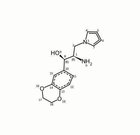 N[C@H](CN1C=C=C=C1)[C@H](O)c1ccc2c(c1)OCCO2